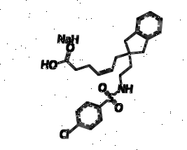 O=C(O)CC/C=C\CC1(CCNS(=O)(=O)c2ccc(Cl)cc2)Cc2ccccc2C1.[NaH]